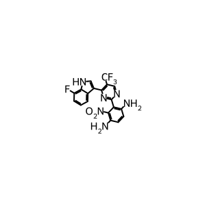 Nc1ccc(N)c([N+](=O)[O-])c1-c1ncc(C(F)(F)F)c(-c2c[nH]c3c(F)cccc23)n1